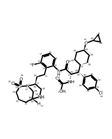 O=C(O)N[C@H](C(=O)Nc1cccc(F)c1CC[C@H]1CN[C@@H]2CCCS(=O)(=O)N1C2)[C@@H](c1ccc(Cl)cc1)[C@H]1CC[C@H](OC2CC2)CC1